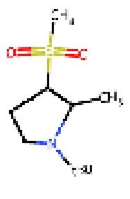 CC1C(S(C)(=O)=O)CCN1C(C)(C)C